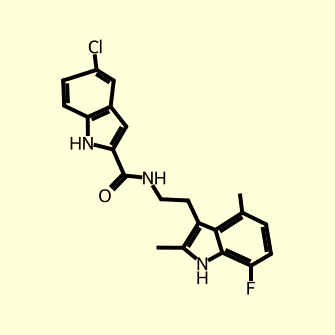 Cc1[nH]c2c(F)ccc(C)c2c1CCNC(=O)c1cc2cc(Cl)ccc2[nH]1